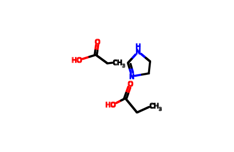 C1=NCCN1.CCC(=O)O.CCC(=O)O